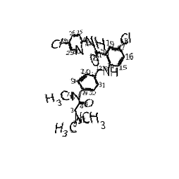 CN(C)CC(=O)N(C)c1ccc(CNc2ccc(Cl)cc2C(=O)Nc2ccc(Cl)cn2)cc1